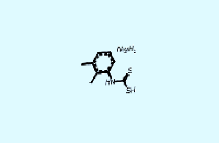 Cc1cccc(NC(=S)S)c1C.[MgH2]